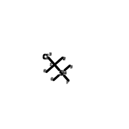 CC(C)(Cl)[Si](C)(C)C